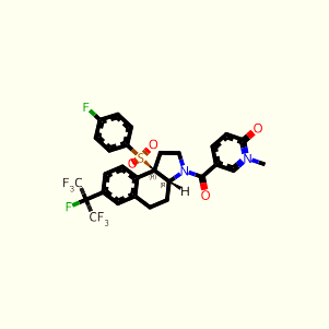 Cn1cc(C(=O)N2CC[C@@]3(S(=O)(=O)c4ccc(F)cc4)c4ccc(C(F)(C(F)(F)F)C(F)(F)F)cc4CC[C@@H]23)ccc1=O